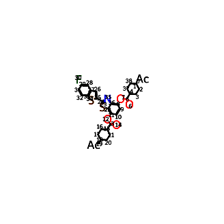 CC(=O)C1CCC(C(=O)Oc2ccc(OC(=O)C3CCC(C(C)=O)CC3)c3sc(-c4cc5cc(F)ccc5s4)nc23)CC1